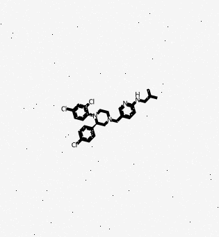 CC(C)CNc1ccc(CN2CCN(c3ccc(Cl)cc3Cl)[C@H](c3ccc(Cl)cc3)C2)cn1